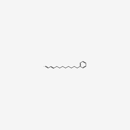 [CH]=CC=CCCCCCCCCc1ccccc1